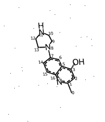 Cc1cc(O)c2cc(N3CCNCC3)ccc2n1